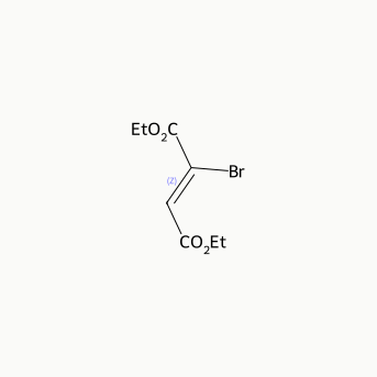 CCOC(=O)/C=C(\Br)C(=O)OCC